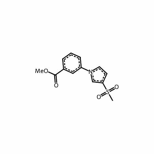 COC(=O)c1cccc(-n2ccc(S(C)(=O)=O)c2)c1